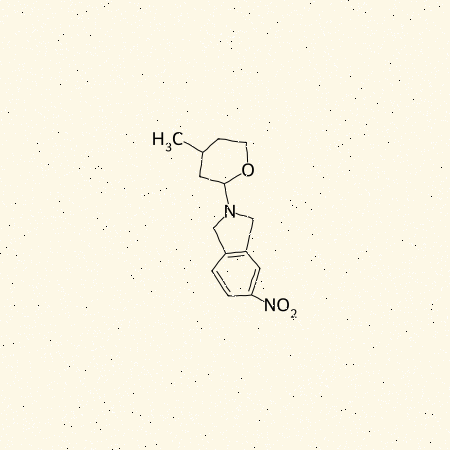 CC1CCOC(N2Cc3ccc([N+](=O)[O-])cc3C2)C1